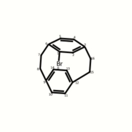 Brc1cc2ccc1CCc1ccc(cc1)CC2